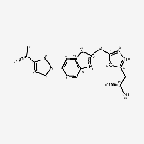 CC(=O)C1=CCC(c2ccc3nc(Cc4nnc(CC(=O)O)o4)sc3c2)S1